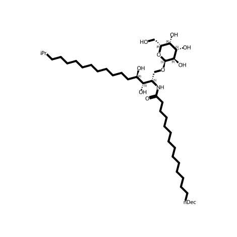 CCCCCCCCCCCCCCCCCCCCCCCC(=O)N[C@@H](CO[C@H]1O[C@H](CO)[C@H](O)[C@H](O)[C@H]1O)[C@H](O)[C@H](O)CCCCCCCCCCCC(C)C